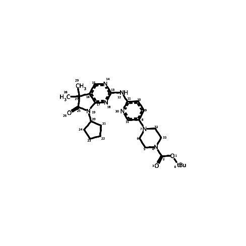 CC(C)(C)OC(=O)N1CCN(c2ccc(Nc3ncc4c(n3)N(C3CCCC3)C(=O)C4(C)C)nc2)CC1